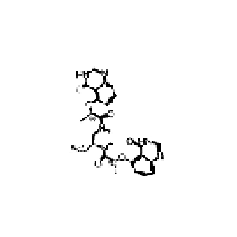 CC(=O)OC(CN(C)C(=O)[C@@H](C)Oc1cccc2nc[nH]c(=O)c12)N(C)C(=O)[C@@H](C)Oc1cccc2nc[nH]c(=O)c12